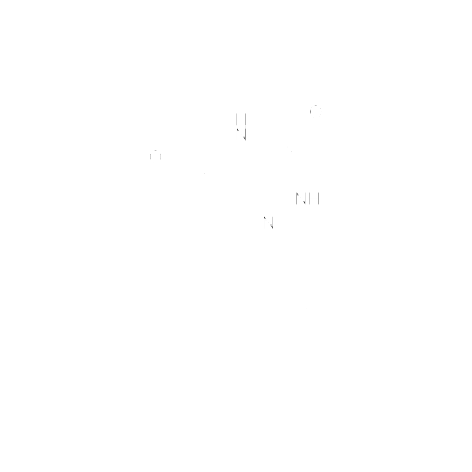 O=c1[nH]c(=O)c2cc3ccccc3n2[nH]1